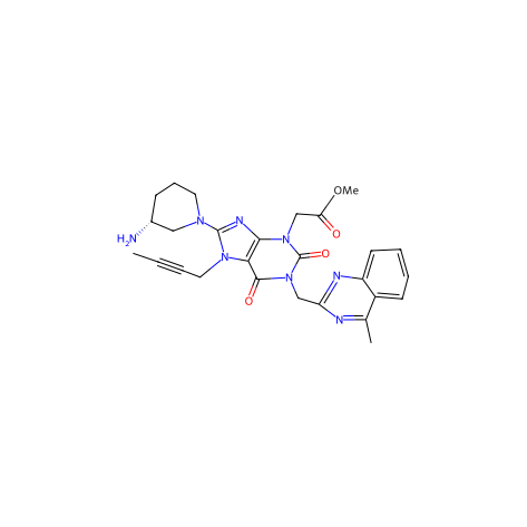 CC#CCn1c(N2CCC[C@@H](N)C2)nc2c1c(=O)n(Cc1nc(C)c3ccccc3n1)c(=O)n2CC(=O)OC